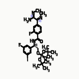 C/N=C(\C(N)=N/C)c1ccc(C(=O)N[C@H](COP(=O)(OC(C)(C)C)OC(C)(C)C)c2cc(F)cc(I)c2)c(F)c1